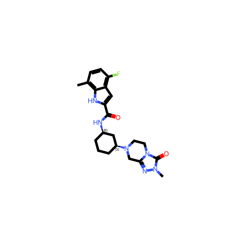 Cc1ccc(F)c2cc(C(=O)N[C@@H]3CCC[C@H](N4CCn5c(nn(C)c5=O)C4)C3)[nH]c12